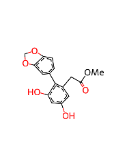 COC(=O)Cc1cc(O)cc(O)c1-c1ccc2c(c1)OCO2